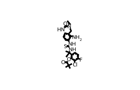 CC(C)(C)C(=O)OCC(C)(NC(=S)Nc1cccc(Cn2ccoc2=N)c1N)c1ccc(F)c(Cl)c1